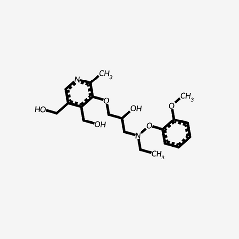 CCN(CC(O)COc1c(C)ncc(CO)c1CO)Oc1ccccc1OC